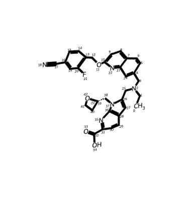 CCN(Cc1ccc2ccc(OCc3ccc(C#N)cc3F)nc2c1)Cc1cc2ccc(C(=O)O)nc2n1C[C@@H]1CCO1